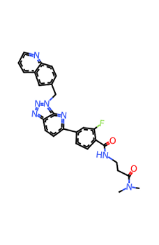 CN(C)C(=O)CCNC(=O)c1ccc(-c2ccc3nnn(Cc4ccc5ncccc5c4)c3n2)cc1F